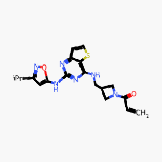 C=CC(=O)N1CC(CNc2nc(Nc3cc(C(C)C)no3)nc3ccsc23)C1